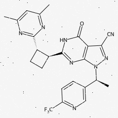 Cc1cc(C)nc([C@H]2CC[C@@H]2c2nc3c(c(C#N)nn3[C@@H](C)c3ccc(C(F)(F)F)nc3)c(=O)[nH]2)n1